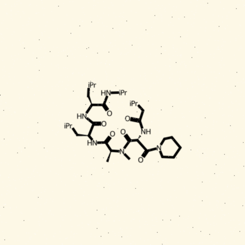 CC(C)CC(=O)N[C@H](C(=O)N1CCCCC1)C(=O)N(C)[C@@H](C)C(=O)N[C@@H](CC(C)C)C(=O)N[C@@H](CC(C)C)C(=O)NC(C)C